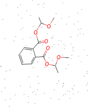 COC(C)OC(=O)c1ccccc1C(=O)OC(C)OC